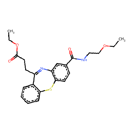 CCOCCNC(=O)c1ccc2c(c1)N=C(CCC(=O)OCC)c1ccccc1S2